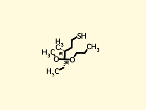 CCCO[C@@](CC)(OC)[C@H](C)CCS